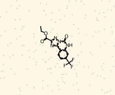 CCOC(=O)c1nc2c3ccc(C(F)(F)F)cc3[nH]c(=O)n2n1